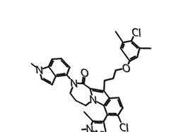 Cc1cc(OCCCc2c3n(c4c(-c5c(C)nn(C)c5C)c(Cl)ccc24)CCCN(c2cccc4c2ccn4C)C3=O)cc(C)c1Cl